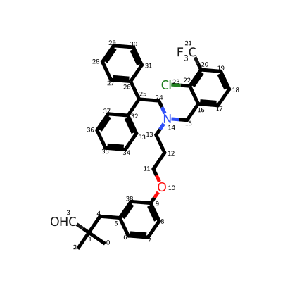 CC(C)(C=O)Cc1cccc(OCCCN(Cc2cccc(C(F)(F)F)c2Cl)CC(c2ccccc2)c2ccccc2)c1